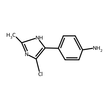 Cc1nc(Cl)c(-c2ccc(N)cc2)[nH]1